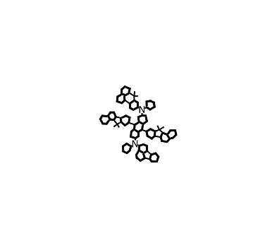 CC1(C)c2cc(-c3c4ccc(N(c5ccccc5)c5ccc6c7c(cccc57)-c5ccccc5-6)cc4c(-c4ccc5c(c4)C(C)(C)c4c-5ccc5ccccc45)c4ccc(N(c5ccccc5)c5ccc6c(c5)C(C)(C)c5cccc7cccc-6c57)cc34)ccc2-c2ccc3ccccc3c21